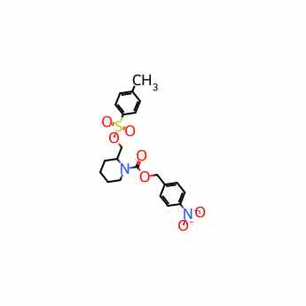 Cc1ccc(S(=O)(=O)OCC2CCCCN2C(=O)OCc2ccc([N+](=O)[O-])cc2)cc1